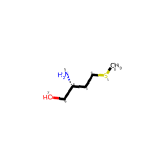 CSCC[C@@H](N)CO